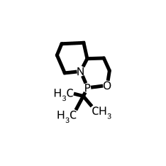 CC(C)(C)P1OCCC2CCCCN21